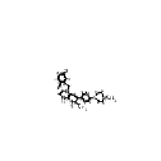 CC1NC2=C(C=C1c1ccc(N3CCN(C)CC3)nc1)N(Cc1cc(Cl)ccc1Cl)CCN2